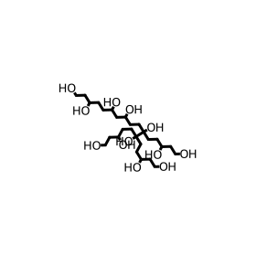 OCCC(O)CCC(O)CC(O)CCC(O)(CCC(O)CCO)C(O)(CCC(O)CCO)CCC(O)CCO